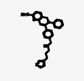 CSc1ccc2c(n1)C=C(c1ccc(CNCCCn3ccnc3)cc1)N(c1ccccc1)C2